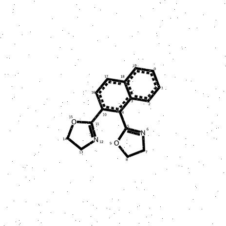 c1ccc2c(C3=NCCO3)c(C3=NCCO3)ccc2c1